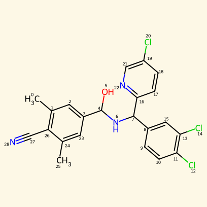 Cc1cc(C(O)NC(c2ccc(Cl)c(Cl)c2)c2ccc(Cl)cn2)cc(C)c1C#N